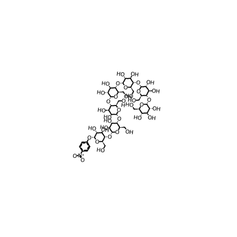 O=[N+]([O-])c1ccc(O[C@H]2O[C@H](CO)[C@@H](O[C@H]3O[C@H](CO)[C@@H](O[C@H]4O[C@H](CO)[C@@H](O[C@H]5O[C@H](CO)[C@@H](O[C@H]6O[C@H](CO)[C@@H](O[C@H]7O[C@H](CO)[C@@H](O[C@H]8O[C@H](CO)[C@@H](O)[C@H](O)[C@H]8O)[C@H](O)[C@H]7O)[C@H](O)[C@H]6O)[C@H](O)[C@H]5O)[C@H](O)[C@H]4O)[C@H](O)[C@H]3O)[C@H](O)[C@H]2O)cc1